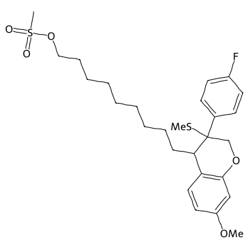 COc1ccc2c(c1)OCC(SC)(c1ccc(F)cc1)C2CCCCCCCCCOS(C)(=O)=O